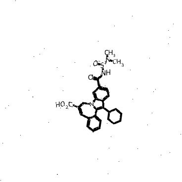 CN(C)[S+]([O-])NC(=O)c1ccc2c(C3CCCCC3)c3n(c2c1)CC(C(=O)O)=Cc1ccccc1-3